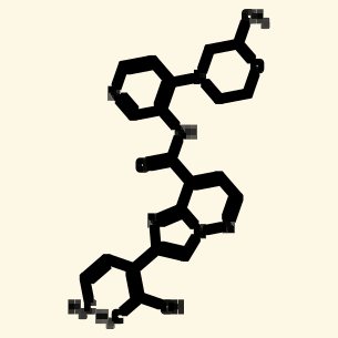 C/C=C\C(=C(/C)O)c1cn2nccc(C(=O)Nc3cnccc3N3CCOC(C)C3)c2n1